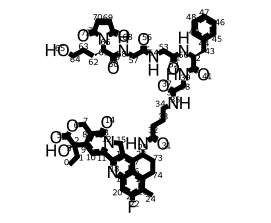 CC[C@@]1(O)C(=O)OCc2c1cc1n(c2=O)Cc2c-1nc1cc(F)c(C)c3c1c2[C@@H](NC(=O)CCCNC(=O)CNC(=O)[C@H](Cc1ccccc1)NC(=O)CNC(=O)CNC(=O)[C@H](CCCO)N1C(=O)C=CC1=O)CC3